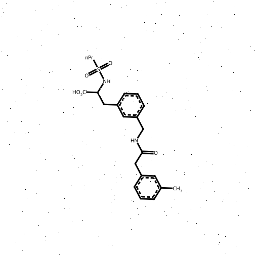 CCCS(=O)(=O)NC(Cc1cccc(CNC(=O)Cc2cccc(C)c2)c1)C(=O)O